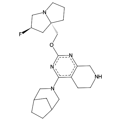 F[C@H]1CN2CCC[C@@]2(COc2nc3c(c(N4CC5CCC(C5)C4)n2)CCNC3)C1